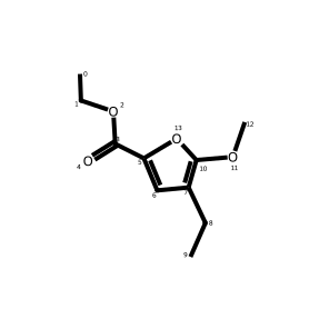 CCOC(=O)c1cc(CC)c(OC)o1